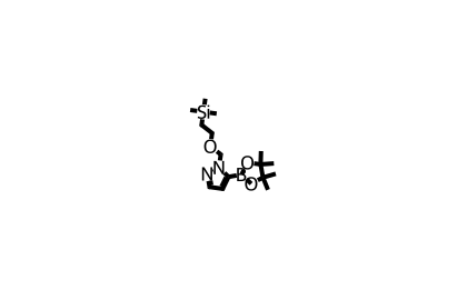 CC1(C)OB(c2ccnn2COCC[Si](C)(C)C)OC1(C)C